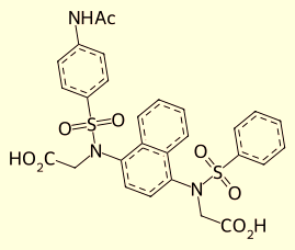 CC(=O)Nc1ccc(S(=O)(=O)N(CC(=O)O)c2ccc(N(CC(=O)O)S(=O)(=O)c3ccccc3)c3ccccc23)cc1